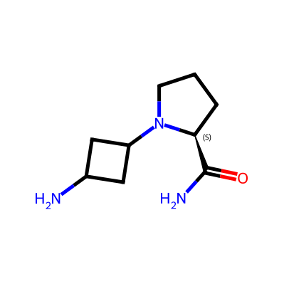 NC(=O)[C@@H]1CCCN1C1CC(N)C1